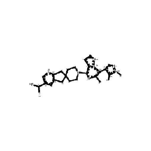 Cc1nc(N2CCC3(CC2)Cc2cc(C(F)F)cnc2C3)c2ccnn2c1-c1cnn(C)c1C